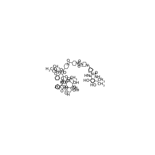 CC(=O)O[C@@]12CO[C@@H]1C[C@H](O)[C@@]1(C)C(=O)C(O)C3=C(C)[C@@H](OC(=O)[C@H](OC(=O)C4CCN(C(=O)C5CCN(S(=O)(=O)N6CCN(Cc7ccc(N(C(=N)c8cc(C(C)C)c(O)cc8O)C(N)=O)cc7)CC6)CC5)CC4)[C@@H](NC(=O)OC(C)(C)C)c4ccccc4)C[C@@](O)([C@@H](OC(=O)c4ccccc4)[C@H]21)C3(C)C